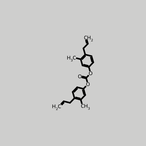 C=CCc1ccc(OC(=O)Oc2ccc(CC=C)c(C)c2)cc1C